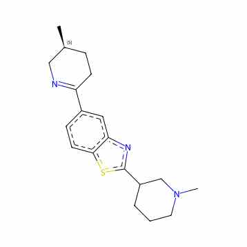 C[C@H]1CCC(c2ccc3sc(C4CCCN(C)C4)nc3c2)=NC1